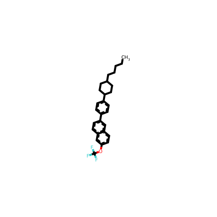 CCCCCC1CCC(c2ccc(-c3ccc4cc(OC(F)(F)F)ccc4c3)cc2)CC1